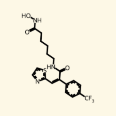 O=C(CCCCCNC(=O)/C(=C\c1nccs1)c1ccc(C(F)(F)F)cc1)NO